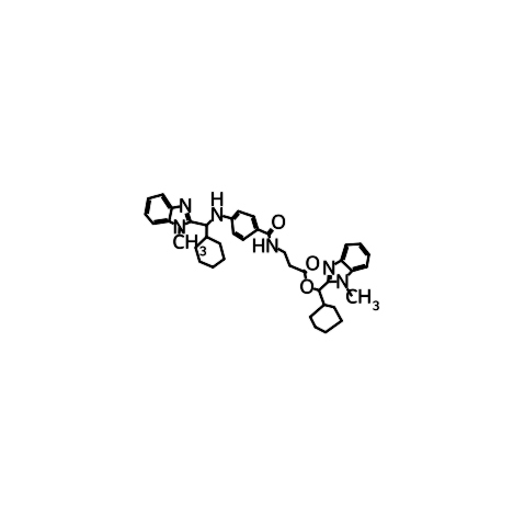 Cn1c(C(Nc2ccc(C(=O)NCCC(=O)OC(c3nc4ccccc4n3C)C3CCCCC3)cc2)C2CCCCC2)nc2ccccc21